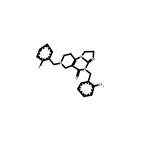 O=C1C2=C(CCN(Cc3ccccc3F)C2)N2CCN=C2N1Cc1ccccc1C(F)(F)F